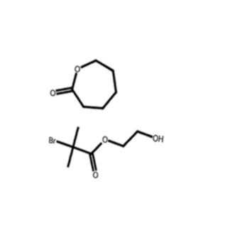 CC(C)(Br)C(=O)OCCO.O=C1CCCCCO1